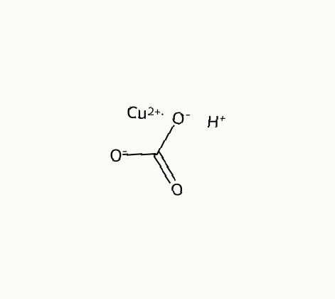 O=C([O-])[O-].[Cu+2].[H+]